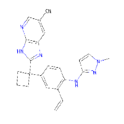 C=Cc1cc(C2(c3nc4cc(C#N)cnc4[nH]3)CCC2)ccc1Nc1ccn(C)n1